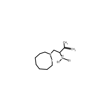 C=C(C)C(CN1CCCCCCCC1)[SiH](CC)CC